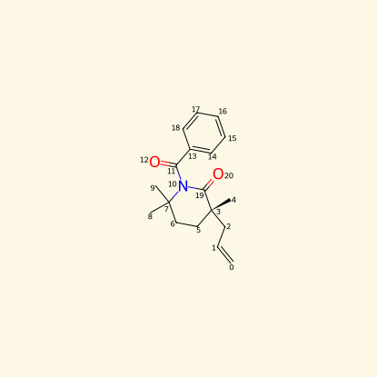 C=CC[C@]1(C)CCC(C)(C)N(C(=O)c2ccccc2)C1=O